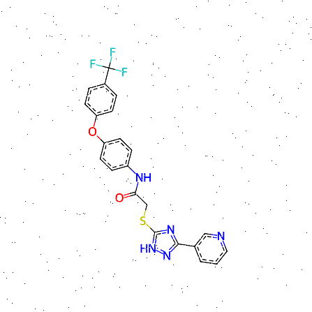 O=C(CSc1nc(-c2cccnc2)n[nH]1)Nc1ccc(Oc2ccc(C(F)(F)F)cc2)cc1